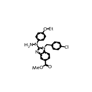 CCOc1ccc(N(N)c2nc3cc(C(=O)OC)ccc3n2Cc2ccc(Cl)cc2)cc1